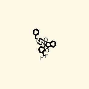 O=C1c2ccccc2C(=O)C1(c1cccc(C(F)F)c1)N1CCN(Cc2ccccc2)CC1